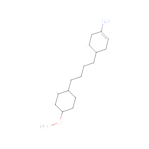 COC1CCC(CCCCC2CC=C(N)CC2)CC1